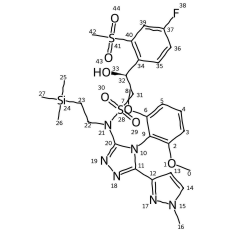 COc1cccc(OC)c1-n1c(-c2ccn(C)n2)nnc1N(CC[Si](C)(C)C)S(=O)(=O)C[C@@H](O)c1ccc(F)cc1S(C)(=O)=O